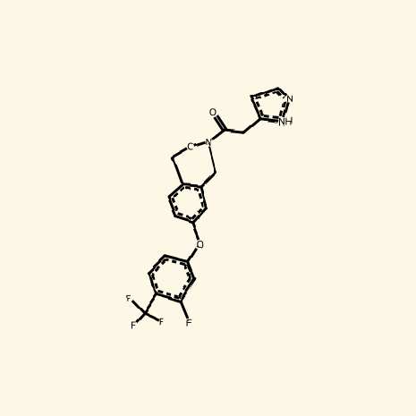 O=C(Cc1ccn[nH]1)N1CCc2ccc(Oc3ccc(C(F)(F)F)c(F)c3)cc2C1